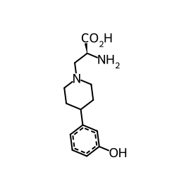 N[C@@H](CN1CCC(c2cccc(O)c2)CC1)C(=O)O